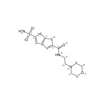 NS(=O)(=O)c1cc2cc(C(=O)NCCN3CCOCC3)sc2s1